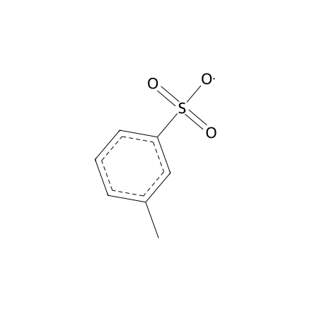 Cc1cccc(S([O])(=O)=O)c1